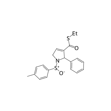 CCSC(=O)C1=CCN([S+]([O-])c2ccc(C)cc2)C1c1ccccc1